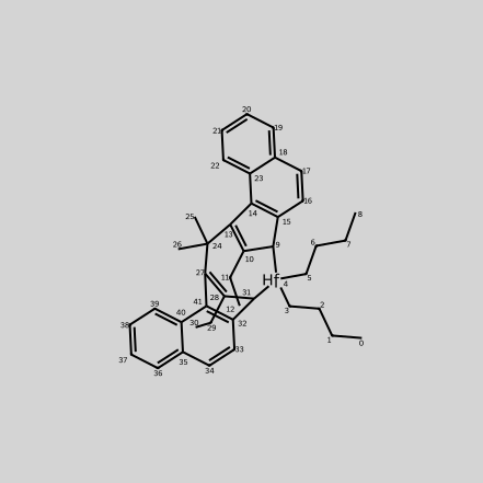 CCC[CH2][Hf]1([CH2]CCC)[CH]2C(CC)=C(c3c2ccc2ccccc32)C(C)(C)C2=C(CC)[CH]1c1ccc3ccccc3c12